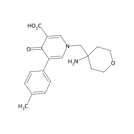 Cc1ccc(-c2cn(CC3(N)CCOCC3)cc(C(=O)O)c2=O)cc1